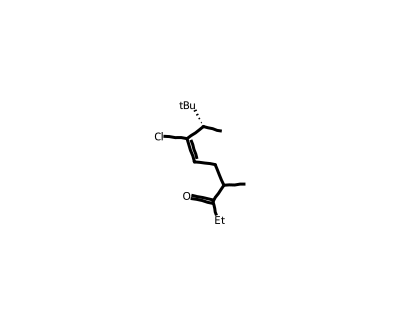 CCC(=O)C(C)C/C=C(/Cl)[C@@H](C)C(C)(C)C